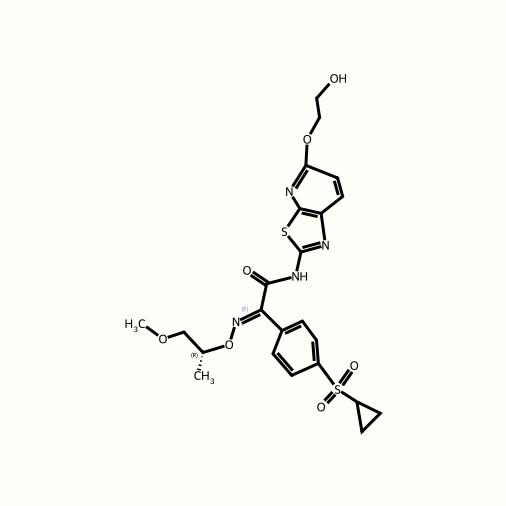 COC[C@@H](C)O/N=C(/C(=O)Nc1nc2ccc(OCCO)nc2s1)c1ccc(S(=O)(=O)C2CC2)cc1